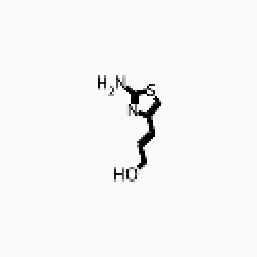 Nc1nc(C=CCO)cs1